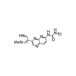 CCNC(=O)Nc1ccc2ncc(/C(C=N)=C/NC)nc2n1